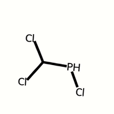 ClPC(Cl)Cl